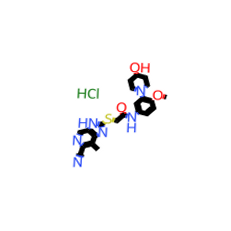 COc1ccc(NC(=O)CSc2nc3c(C)c(C#N)ncc3[nH]2)cc1N1CCC(O)CC1.Cl